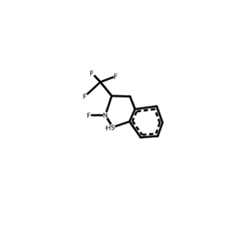 FN1[SH]c2ccccc2CC1C(F)(F)F